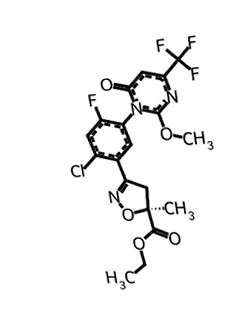 CCOC(=O)[C@]1(C)CC(c2cc(-n3c(OC)nc(C(F)(F)F)cc3=O)c(F)cc2Cl)=NO1